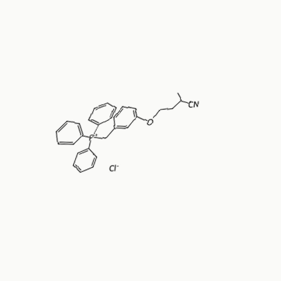 CC(C#N)CCOc1cccc(C[P+](c2ccccc2)(c2ccccc2)c2ccccc2)c1.[Cl-]